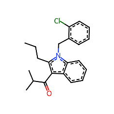 CCCc1c(C(=O)C(C)C)c2ccccc2n1Cc1ccccc1Cl